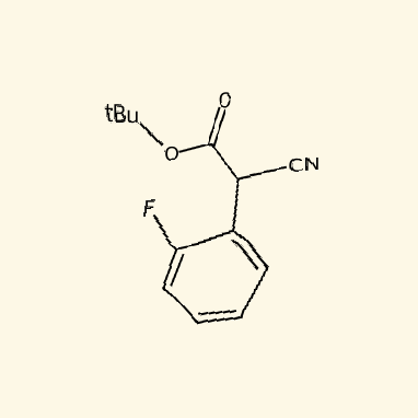 CC(C)(C)OC(=O)C(C#N)c1ccccc1F